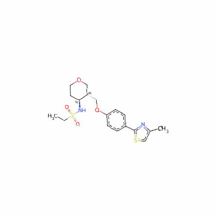 CCS(=O)(=O)N[C@H]1CCOC[C@@H]1COc1ccc(-c2nc(C)cs2)cc1